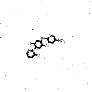 CCc1cc(Nc2ccc([N+](=O)[O-])cn2)c(C(C)=O)cc1-n1ncccc1=O